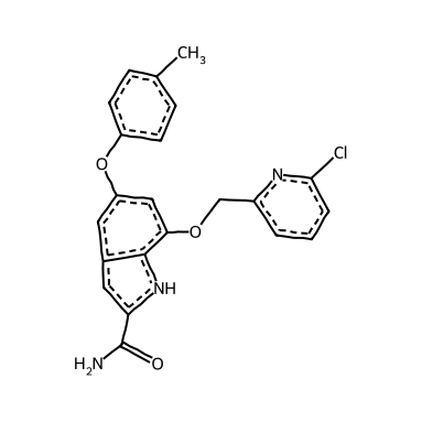 Cc1ccc(Oc2cc(OCc3cccc(Cl)n3)c3[nH]c(C(N)=O)cc3c2)cc1